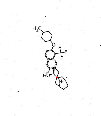 C[C@H]1CC[C@@H](Oc2ccc3cc(F)c(CCN4C5CCC4CC(C(=O)O)C5)cc3c2C(F)(F)F)CC1